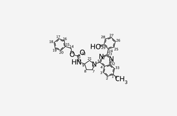 Cc1ccc2c(N3CCC(NC(=O)OCc4ccccc4)C3)nc(-c3ccccc3O)nc2c1